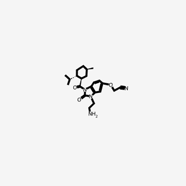 CC(C)[C@@H]1CC[C@@H](C)C[C@H]1C(=O)n1c(=O)n(CCN)c2cc(OCC#N)ccc21